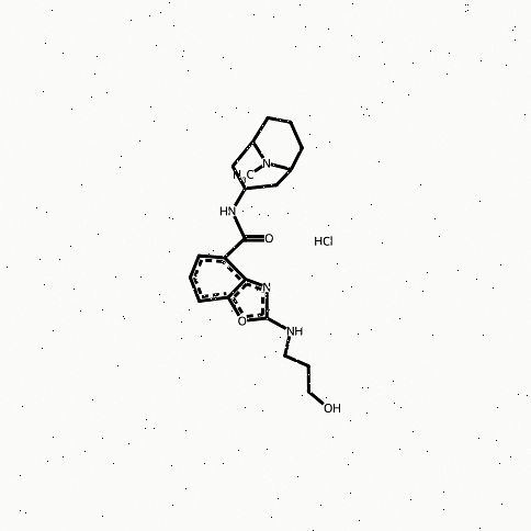 CN1C2CCCC1CC(NC(=O)c1cccc3oc(NCCCO)nc13)C2.Cl